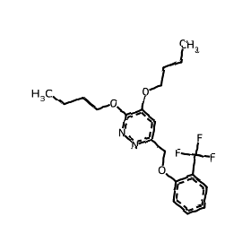 CCCCOc1cc(COc2ccccc2C(F)(F)F)nnc1OCCCC